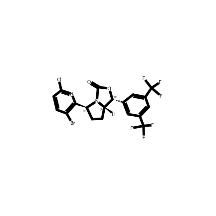 O=C1O[C@H](c2cc(C(F)(F)F)cc(C(F)(F)F)c2)[C@@H]2CC[C@@H](c3nc(Cl)ccc3Br)N12